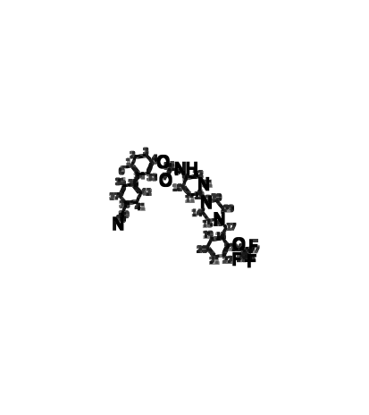 Cc1ccc(OC(=O)Nc2ccc(N3CCN(Cc4ccccc4OC(F)(F)F)CC3)nc2)cc1-c1ccc(C#N)cc1